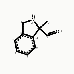 CC1(C=O)NCc2ccccc21